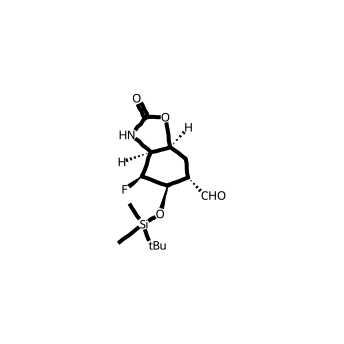 CC(C)(C)[Si](C)(C)O[C@H]1[C@@H](F)[C@H]2NC(=O)O[C@H]2C[C@@H]1C=O